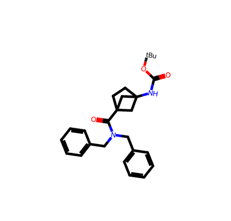 CC(C)(C)OC(=O)NC12CCC(C(=O)N(Cc3ccccc3)Cc3ccccc3)(C1)C2